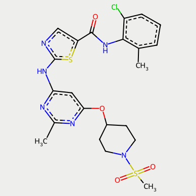 Cc1nc(Nc2ncc(C(=O)Nc3c(C)cccc3Cl)s2)cc(OC2CCN(S(C)(=O)=O)CC2)n1